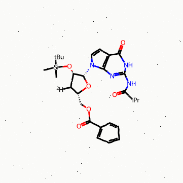 [2H]C1[C@@H](COC(=O)c2ccccc2)O[C@@H](n2ccc3c(=O)[nH]c(NC(=O)C(C)C)nc32)[C@H]1O[Si](C)(C)C(C)(C)C